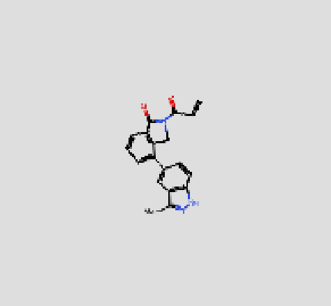 C=CC(=O)N1Cc2c(cccc2-c2ccc3[nH]nc(OC)c3c2)C1=O